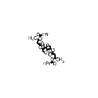 CCCC(=O)O[C@H](C)CC(=O)O[C@H]1CO[C@H]2[C@@H]1OC[C@H]2OC(=O)C[C@@H](C)OC(=O)CCC